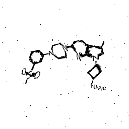 CN[C@H]1C[C@H](n2cc(C)c3ccc(N4CCN(c5cccc(S(C)(=O)=O)c5)CC4)nc32)C1